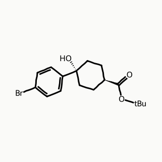 CC(C)(C)OC(=O)[C@H]1CC[C@@](O)(c2ccc(Br)cc2)CC1